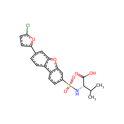 CC(C)[C@H](NS(=O)(=O)c1ccc2c(c1)oc1cc(-c3ccc(Cl)o3)ccc12)C(=O)O